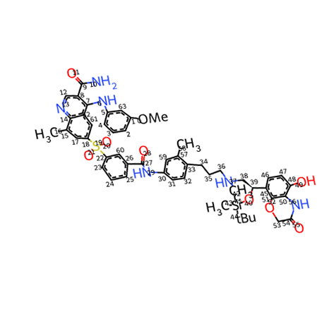 COc1cccc(Nc2c(C(N)=O)cnc3c(C)cc(S(=O)(=O)c4cccc(C(=O)Nc5ccc(CCCNC[C@H](O[Si](C)(C)C(C)(C)C)c6ccc(O)c7c6OCC(=O)N7)c(C)c5)c4)cc23)c1